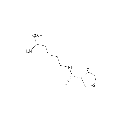 N[C@@H](CCCCNC(=O)[C@H]1CSCN1)C(=O)O